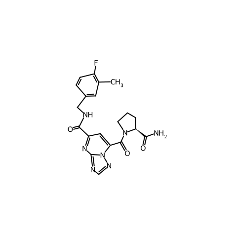 Cc1cc(CNC(=O)c2cc(C(=O)N3CCC[C@H]3C(N)=O)n3ncnc3n2)ccc1F